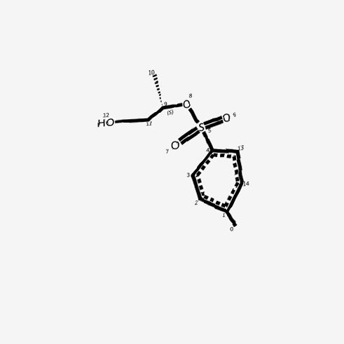 Cc1ccc(S(=O)(=O)O[C@@H](C)CO)cc1